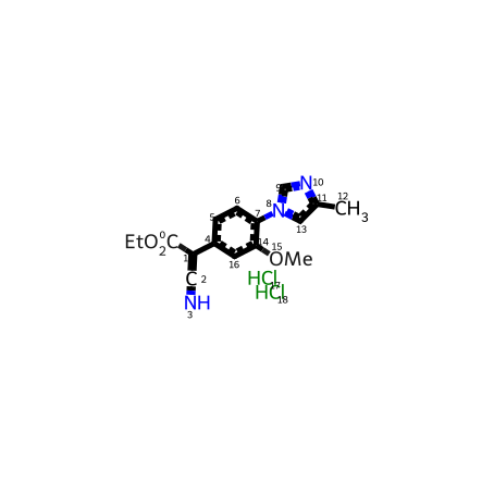 CCOC(=O)C(=C=N)c1ccc(-n2cnc(C)c2)c(OC)c1.Cl.Cl